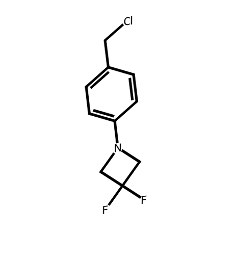 FC1(F)CN(c2ccc(CCl)cc2)C1